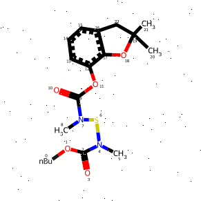 CCCCOC(=O)N(C)SN(C)C(=O)Oc1cccc2c1OC(C)(C)C2